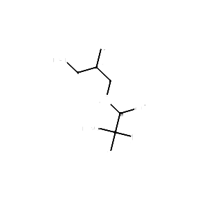 CCCCC(C)(CC)C([O])OCC(C)CC(C)CC